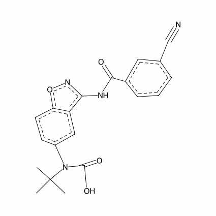 CC(C)(C)N(C(=O)O)c1ccc2onc(NC(=O)c3cccc(C#N)c3)c2c1